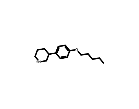 CCCCCOc1ccc(C2CCCNC2)cc1